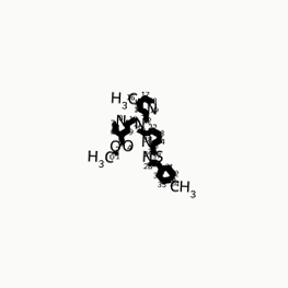 CCOC(=O)c1ccnc(CN(Cc2cc(C)ccn2)Cc2cccc(-c3ncc(-c4ccc(C)cc4)s3)n2)c1